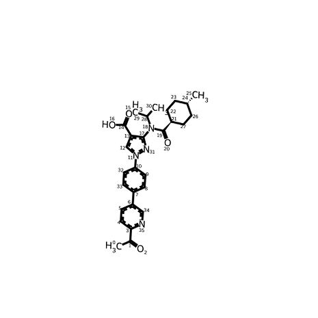 CC(=O)c1ccc(-c2ccc(-n3cc(C(=O)O)c(N(C(=O)[C@H]4CC[C@H](C)CC4)C(C)C)n3)cc2)cn1